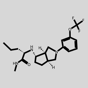 CCC[C@H](N[C@H]1CC[C@@H]2CN(c3cccc(OC(F)(F)F)c3)C[C@@H]21)C(=O)NC